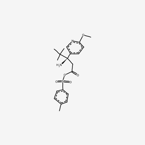 COc1ccc([C@](N)(CC(=O)OS(=O)(=O)c2ccc(C)cc2)C(C)(C)C)cn1